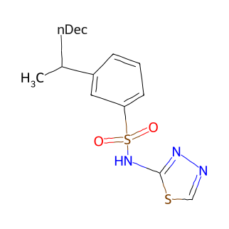 CCCCCCCCCCC(C)c1cccc(S(=O)(=O)Nc2nncs2)c1